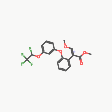 CO/C=C(/C(=O)OC)c1ccccc1Oc1cccc(OC(F)C(F)(F)F)c1